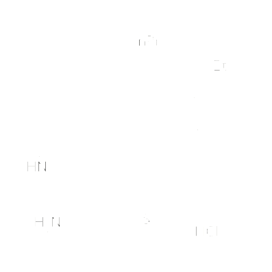 CCCC=C(CC)c1cccc2sc(C(=N)N)cc12.Cl